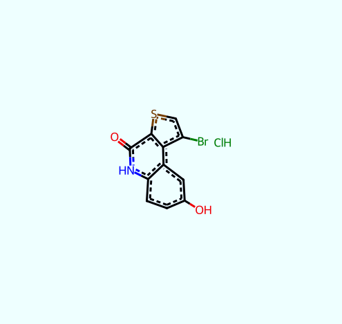 Cl.O=c1[nH]c2ccc(O)cc2c2c(Br)csc12